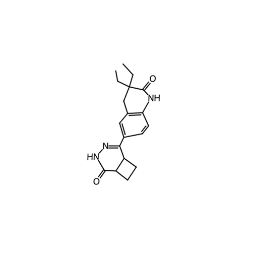 CCC1(CC)Cc2cc(C3=NNC(=O)C4CCC34)ccc2NC1=O